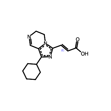 O=C(O)/C=C/c1nc(C2CCCCC2)c2n1CCN=C2